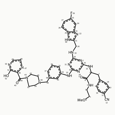 COCCNC(=O)C(Cc1ccc(C#N)cc1)Nc1nc(NCc2nc3cc(F)ccc3[nH]2)nc(Nc2cccc(CN3CCN(C(=O)c4nccnc4O)CC3)c2)n1